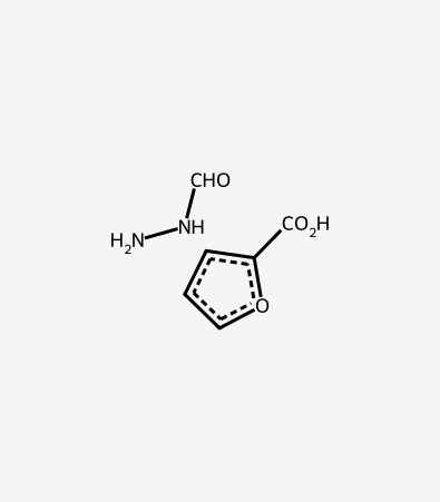 NNC=O.O=C(O)c1ccco1